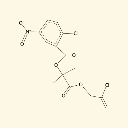 C=C(Cl)COC(=O)C(C)(C)OC(=O)c1cc([N+](=O)[O-])ccc1Cl